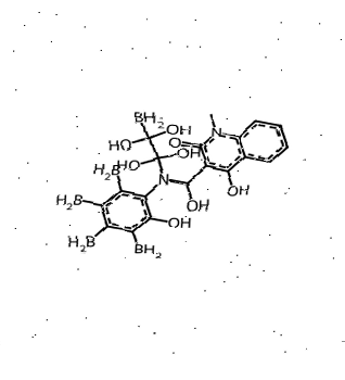 Bc1c(B)c(B)c(N(C(O)c2c(O)c3ccccc3n(C)c2=O)C(O)(O)C(B)(O)O)c(O)c1B